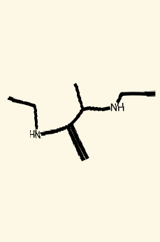 C=C(NCC)C(C)NCC